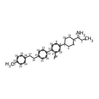 CCC(N)C1CCC(c2ccc(-c3ccc(CCc4ccc(C)cc4)cc3)c(F)c2)CC1